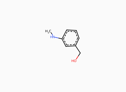 CNc1cccc(CO)c1